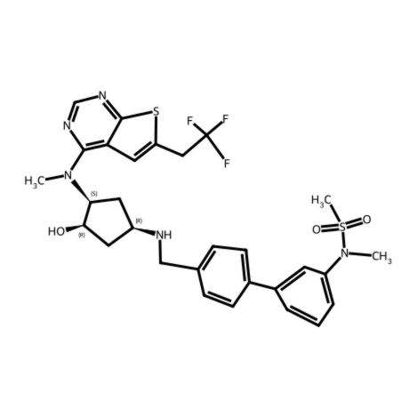 CN(c1ncnc2sc(CC(F)(F)F)cc12)[C@H]1C[C@@H](NCc2ccc(-c3cccc(N(C)S(C)(=O)=O)c3)cc2)C[C@H]1O